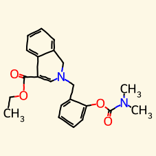 CCOC(=O)C1=CN(Cc2ccccc2OC(=O)N(C)C)Cc2ccccc21